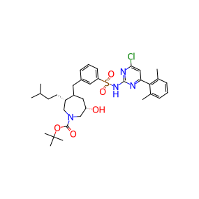 Cc1cccc(C)c1-c1cc(Cl)nc(NS(=O)(=O)c2cccc(CC3C[C@H](O)CN(C(=O)OC(C)(C)C)C[C@@H]3CCC(C)C)c2)n1